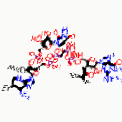 CCCC(CC)C(=O)C[C@H]1[C@@H](O)[C@H](n2c[n+](C)c3c(=O)[nH]c(N)nc32)O[C@@H]1COP(=O)(O)OP(=O)(O)CCP(=O)(O)OP(=O)(O)OC[C@H]1O[C@@H](n2cnc3c2N=CCC(CC)=C3N)[C@H](OC)[C@@H]1OP(=O)(O)OC[C@H]1O[C@@H](n2ccc(=O)[nH]c2=O)[C@H](O)[C@@H]1O